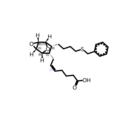 O=C(O)CCC/C=C\C[C@H]1[C@@H](CCCCSCc2ccccc2)[C@@H]2O[C@H]1[C@@H]1O[C@@H]12